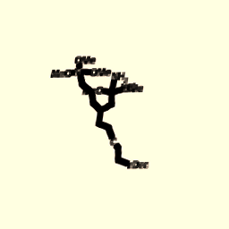 CCCCCCCCCCCCCCCC(CCC[Si](OC)(OC)OC)CC(N)(OC)OC.Cl